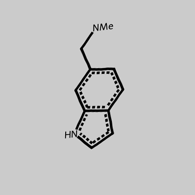 CNCc1ccc2cc[nH]c2c1